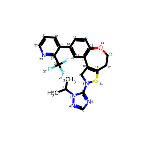 CC(C)n1ncnc1N1CC2=C(CCOc3ccc(-c4cccnc4C(F)(F)F)cc32)S1